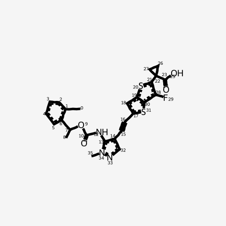 Cc1ccccc1C(C)OC(=O)Nc1c(C#Cc2cc3sc(C4(C(=O)O)CC4)c(F)c3s2)cnn1C